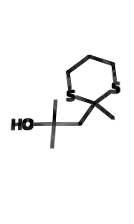 CC(C)(O)CC1(C)SCCCS1